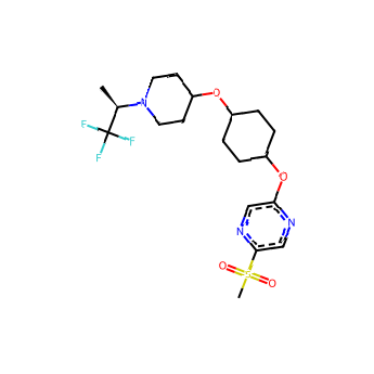 C[C@@H](N1CCC(OC2CCC(Oc3cnc(S(C)(=O)=O)cn3)CC2)CC1)C(F)(F)F